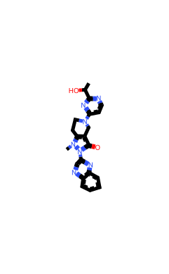 CC(O)c1nccc(N2CCc3c(c(=O)n(-c4cnc5ccccc5n4)n3C)C2)n1